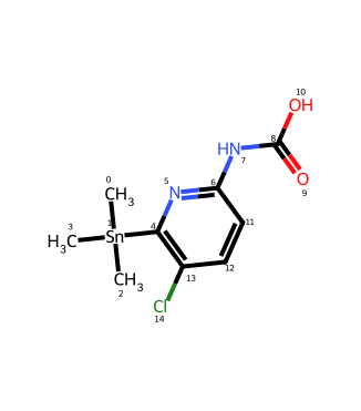 [CH3][Sn]([CH3])([CH3])[c]1nc(NC(=O)O)ccc1Cl